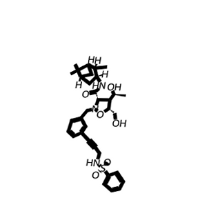 C[C@@H]1[C@@H](NC(=O)[C@@H]2C([C@H](C)O)[C@H](CO)ON2Cc2cccc(C#CCNS(=O)(=O)c3ccccc3)c2)C[C@H]2C[C@@H]1C2(C)C